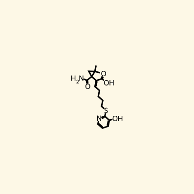 CC1(C)CC1(C(N)=O)/C(=C/CCCCSc1ncccc1O)C(=O)O